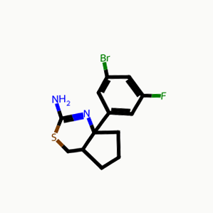 NC1=NC2(c3cc(F)cc(Br)c3)CCCC2CS1